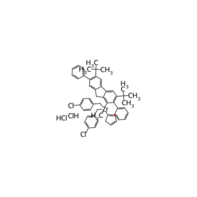 Cl.Cl.[CH2]=[Zr]([CH2]c1ccc(Cl)cc1)([CH2]c1ccc(Cl)cc1)([C]1=CC=CC1)[c]1c2c(cc(C(C)(C)C)c1-c1ccccc1)-c1cc(C(C)(C)C)c(-c3ccccc3)cc1C2